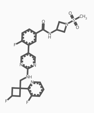 CS(=O)(=O)N1CC(NC(=O)c2ccc(F)c(-c3cnc(NCC4(c5ncccc5F)CC(F)C4)nc3)c2)C1